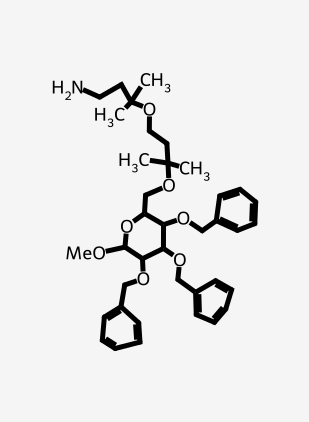 COC1OC(COC(C)(C)CCOC(C)(C)CCN)C(OCc2ccccc2)C(OCc2ccccc2)C1OCc1ccccc1